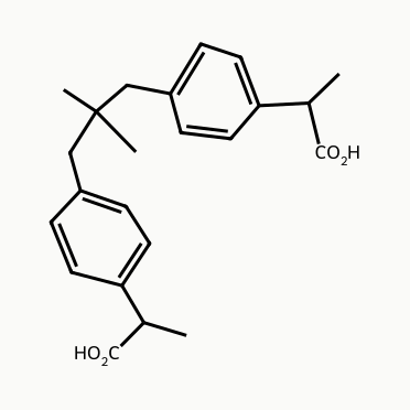 CC(C(=O)O)c1ccc(CC(C)(C)Cc2ccc(C(C)C(=O)O)cc2)cc1